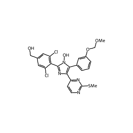 COCOc1cccc(-c2c(-c3ccnc(SC)n3)nc(-c3c(Cl)cc(CO)cc3Cl)n2O)c1